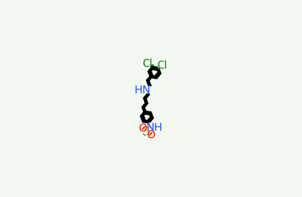 CS(=O)(=O)Nc1ccc(CCCCNCCc2ccc(Cl)c(Cl)c2)cc1